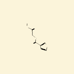 COC(=O)CNC(=O)c1ccsc1